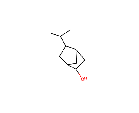 C[C](C)C1CC2CC1CC2O